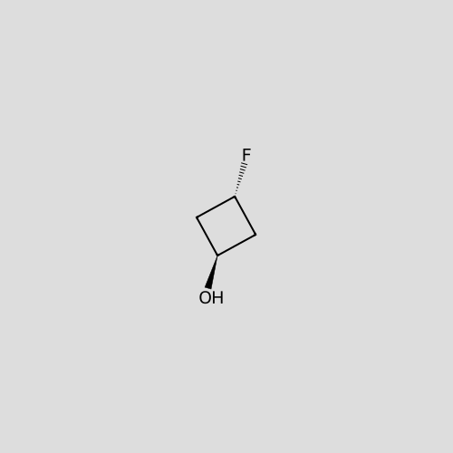 O[C@H]1C[C@H](F)C1